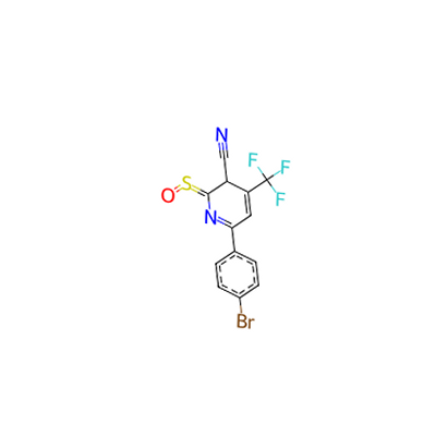 N#CC1C(C(F)(F)F)=CC(c2ccc(Br)cc2)=NC1=S=O